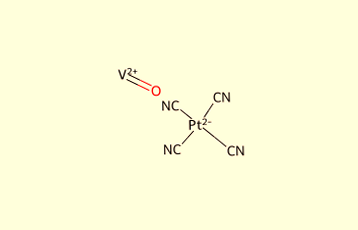 N#[C][Pt-2]([C]#N)([C]#N)[C]#N.[O]=[V+2]